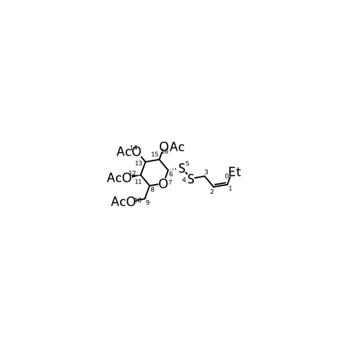 CC/C=C\CSS[C@@H]1OC(COC(C)=O)[C@@H](OC(C)=O)C(OC(C)=O)C1OC(C)=O